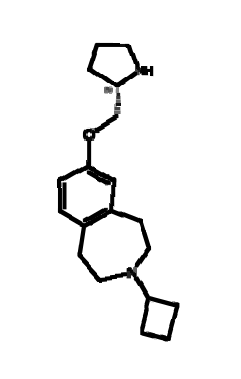 c1cc2c(cc1OC[C@@H]1CCCN1)CCN(C1CCC1)CC2